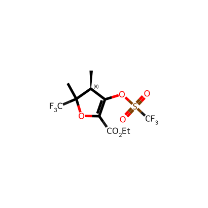 CCOC(=O)C1=C(OS(=O)(=O)C(F)(F)F)[C@H](C)C(C)(C(F)(F)F)O1